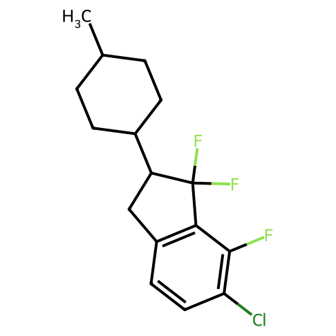 CC1CCC(C2Cc3ccc(Cl)c(F)c3C2(F)F)CC1